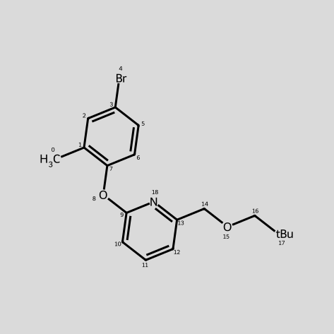 Cc1cc(Br)ccc1Oc1cccc(COCC(C)(C)C)n1